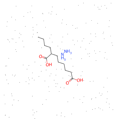 CCCCC(CCCCCC(=O)O)C(=O)O.N.N